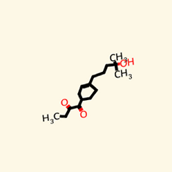 CCC(=O)C(=O)C1CC=C(CCCC(C)(C)O)CC1